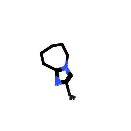 CC(C)c1cn2c(n1)CCCCC2